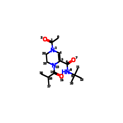 CC(=O)N1C=C(C(=O)NC(C)(C)C)N(C(=O)C(C)C)CC1